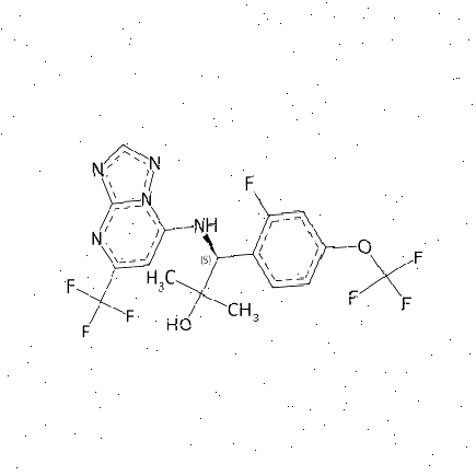 CC(C)(O)[C@@H](Nc1cc(C(F)(F)F)nc2ncnn12)c1ccc(OC(F)(F)F)cc1F